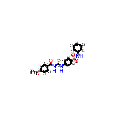 CC(C)Oc1ccc(C(=O)NC(=S)Nc2ccc(S(=O)(=O)Nc3ccccc3)cc2)cc1